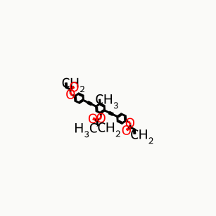 C=CC(=O)Oc1ccc(C#Cc2cc(OC(=O)C(=C)C)c(C#Cc3ccc(OC(=O)C=C)cc3)cc2C)cc1